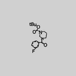 CC(C)(C)OC(=O)N1CCC[C@@H](C(=O)c2cccc(F)c2)C1